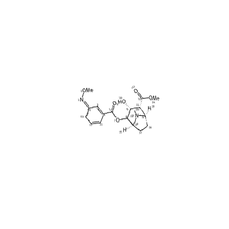 CON=C1C=C(C(=O)OC2[C@H](O)[C@H](C(=O)OC)[C@H]3CC[C@@H]2N3C)C=CC1